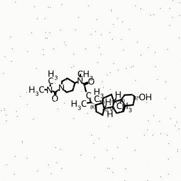 CC(CCC(=O)N(C)C1CCN(C(=O)N(C)C)CC1)[C@H]1CC[C@H]2[C@@H]3CC=C4C[C@@H](O)CC[C@]4(C)[C@H]3CC[C@]12C